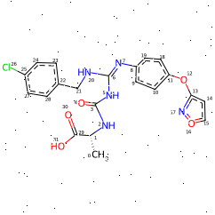 C[C@@H](NC(=O)N/C(=N\c1ccc(Oc2ccon2)cc1)NCc1ccc(Cl)cc1)C(=O)O